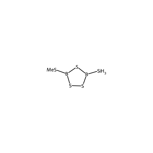 CSB1SSB([SiH3])S1